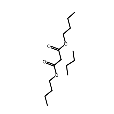 CCCC.CCCCOC(=O)CC(=O)OCCCC